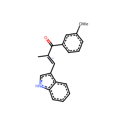 COc1cccc(C(=O)/C(C)=C/c2c[nH]c3ccccc23)c1